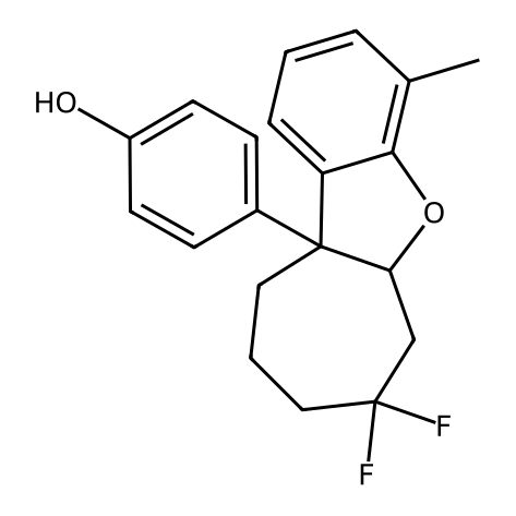 Cc1cccc2c1OC1CC(F)(F)CCCC21c1ccc(O)cc1